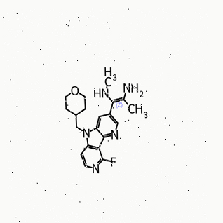 CN/C(=C(/C)N)c1cnc2c3c(F)nccc3n(CC3CCOCC3)c2c1